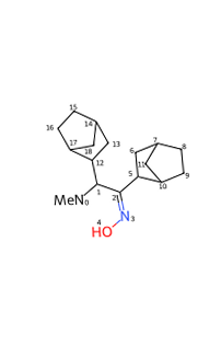 CNC(C(=NO)C1CC2CCC1C2)C1CC2CCC1C2